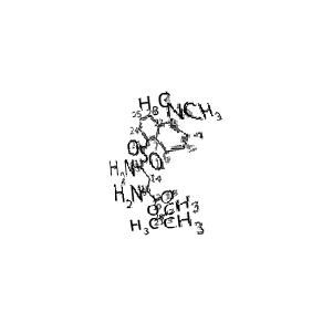 CN(C)c1cccc2c(S(=O)(=O)C(N)CC(N)C(=O)OC(C)(C)C)cccc12